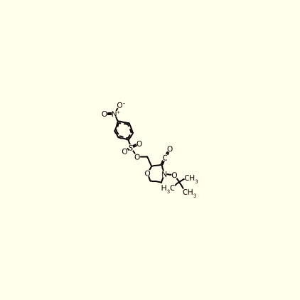 CC(C)(C)ON1CCOC(COS(=O)(=O)c2ccc([N+](=O)[O-])cc2)C1=C=O